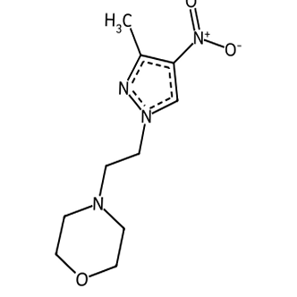 Cc1nn(CCN2CCOCC2)cc1[N+](=O)[O-]